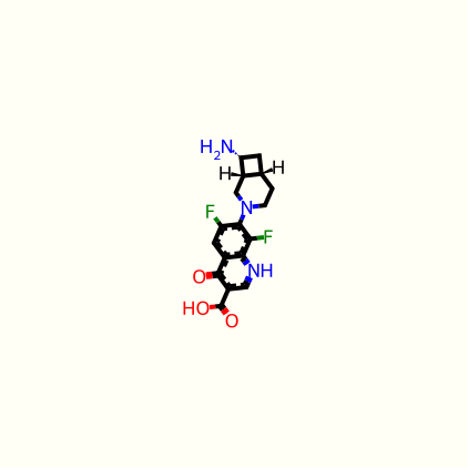 N[C@@H]1C[C@@H]2CCN(c3c(F)cc4c(=O)c(C(=O)O)c[nH]c4c3F)C[C@@H]21